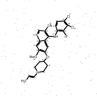 CC=CN1CCC(Oc2cc3c(Nc4ccc(Cl)c(Cl)c4F)c(C#N)cnc3cc2OC)CC1